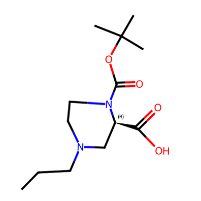 CCCN1CCN(C(=O)OC(C)(C)C)[C@@H](C(=O)O)C1